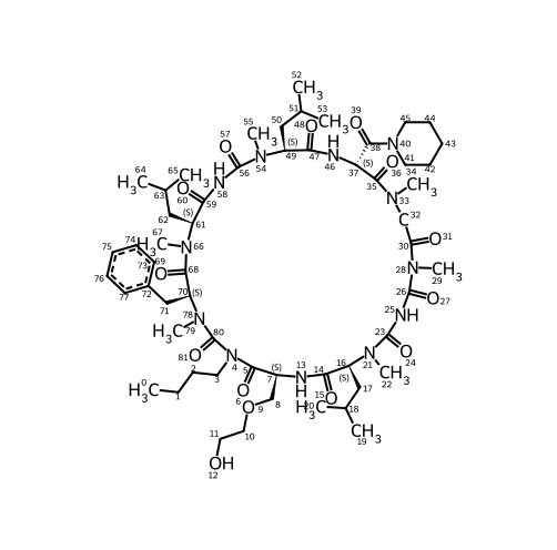 CCCCN1C(=O)[C@H](COCCO)NC(=O)[C@H](CC(C)C)N(C)C(=O)NC(=O)N(C)C(=O)CN(C)C(=O)[C@@H](C(=O)N2CCCCC2)NC(=O)[C@H](CC(C)C)N(C)C(=O)NC(=O)[C@H](CC(C)C)N(C)C(=O)[C@H](Cc2ccccc2)N(C)C1=O